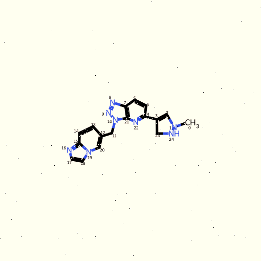 CN1C=C(c2ccc3nnn(Cc4ccc5nccn5c4)c3n2)CN1